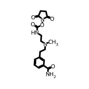 CN(CCNC(=O)ON1C(=O)CCC1=O)CCc1cccc(C(N)=O)c1